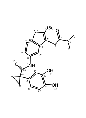 CN(C)C(=O)Cc1c(C(C)(C)C)[nH]c2ccc(NC(=O)C3(c4ccc(O)c(O)c4)CC3)cc12